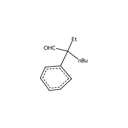 CCCCC([C]=O)(CC)c1ccccc1